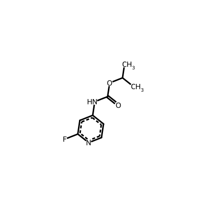 CC(C)OC(=O)Nc1ccnc(F)c1